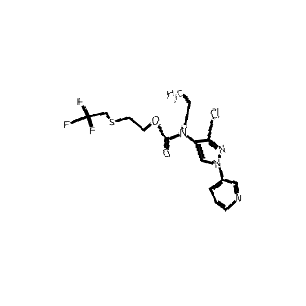 CCN(C(=O)OCCSCC(F)(F)F)c1cn(-c2cccnc2)nc1Cl